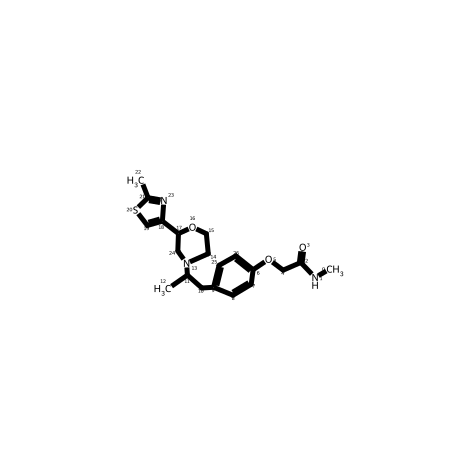 CNC(=O)COc1ccc(CC(C)N2CCOC(c3csc(C)n3)C2)cc1